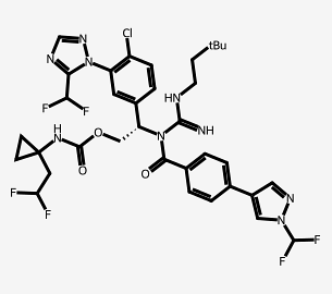 CC(C)(C)CCNC(=N)N(C(=O)c1ccc(-c2cnn(C(F)F)c2)cc1)[C@H](COC(=O)NC1(CC(F)F)CC1)c1ccc(Cl)c(-n2ncnc2C(F)F)c1